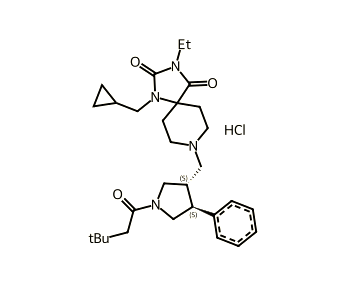 CCN1C(=O)N(CC2CC2)C2(CCN(C[C@H]3CN(C(=O)CC(C)(C)C)C[C@@H]3c3ccccc3)CC2)C1=O.Cl